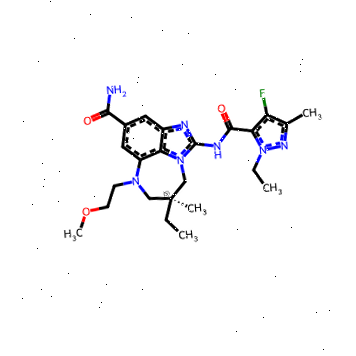 CCn1nc(C)c(F)c1C(=O)Nc1nc2cc(C(N)=O)cc3c2n1C[C@@](C)(CC)CN3CCOC